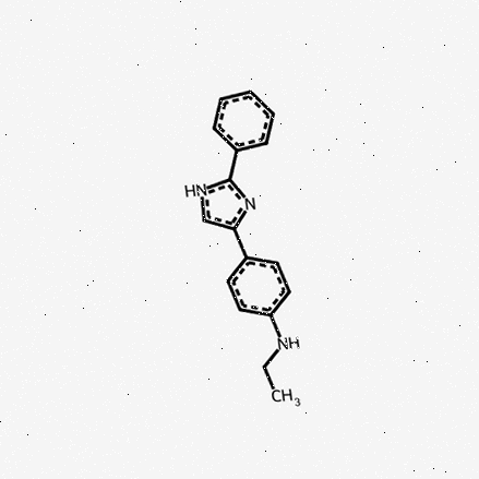 CCNc1ccc(-c2c[nH]c(-c3ccccc3)n2)cc1